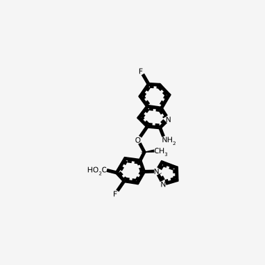 C[C@H](Oc1cc2cc(F)ccc2nc1N)c1cc(C(=O)O)c(F)cc1-n1cccn1